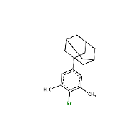 Cc1cc(C23CC4CC(CC(C4)C2)C3)cc(C)c1Br